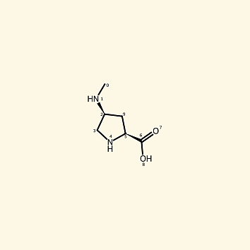 CN[C@@H]1CN[C@H](C(=O)O)C1